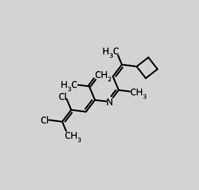 C=C(C)C(=C\C(Cl)=C(/C)Cl)/N=C(C)\C=C(\C)C1CCC1